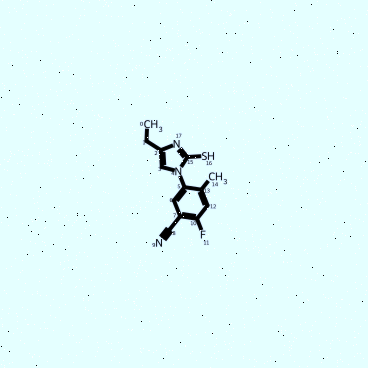 CCc1cn(-c2cc(C#N)c(F)cc2C)c(S)n1